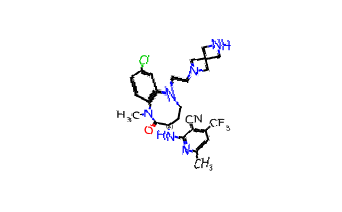 Cc1cc(C(F)(F)F)c(C#N)c(N[C@H]2CCN(CCN3CC4(CNC4)C3)c3cc(Cl)ccc3N(C)C2=O)n1